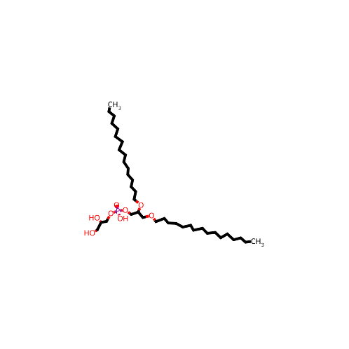 CCCCCCCCCCCCCCCCOCC(COP(=O)(O)OCC(O)CO)OCCCCCCCCCCCCCCCC